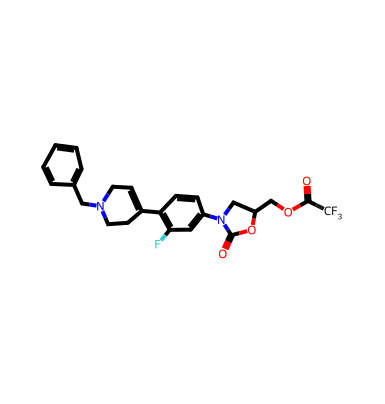 O=C1OC(COC(=O)C(F)(F)F)CN1c1ccc(C2=CCN(Cc3ccccc3)CC2)c(F)c1